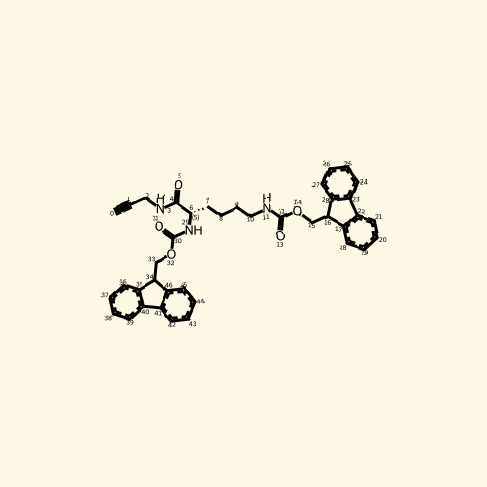 C#CCNC(=O)[C@H](CCCCNC(=O)OCC1c2ccccc2-c2ccccc21)NC(=O)OCC1c2ccccc2-c2ccccc21